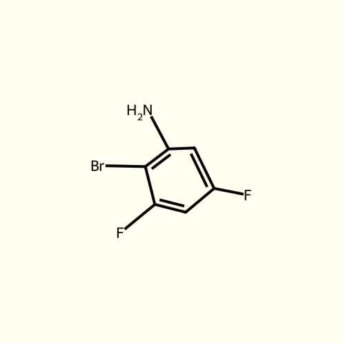 Nc1cc(F)cc(F)c1Br